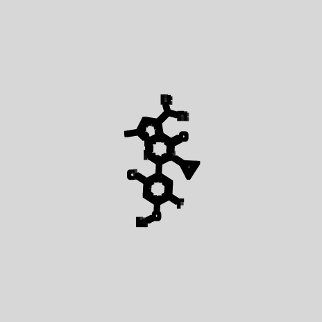 CCOc1cc(Cl)c(-c2nn3c(C)cc(C(CC)CC)c3c(=O)n2C2CC2)cc1F